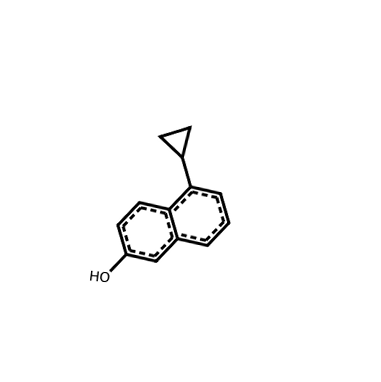 Oc1ccc2c(C3CC3)cccc2c1